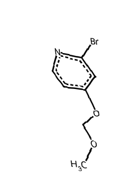 COCOc1ccnc(Br)c1